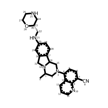 CC1CN(c2ccc(C#N)c3ncccc23)CC2c3ccc(NC[C@H]4CNCCO4)cc3CN12